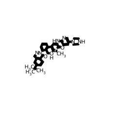 Cn1cc(-c2cccc(-n3ncc4cc(C(C)(C)C)ccc4c3=O)c2CO)cc(Nc2ccc(N3CCNCC3)cn2)c1=O